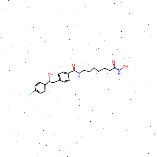 O=C(CCCCCCNC(=O)c1ccc(CC(O)c2ccc(F)cc2)cc1)NO